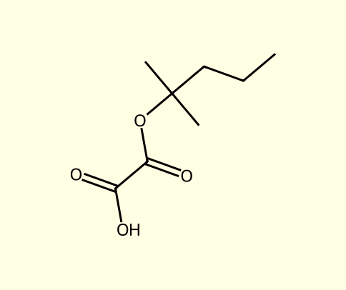 CCCC(C)(C)OC(=O)C(=O)O